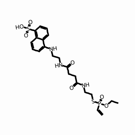 C=CP(=O)(OCC)SCCNC(=O)CCC(=O)NCCNc1cccc2c(S(=O)(=O)O)cccc12